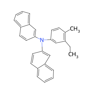 CCc1cc(N(c2ccc3ccccc3c2)c2ccc3ccccc3c2)ccc1C